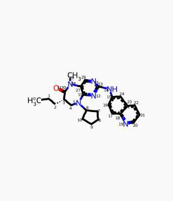 CCC[C@H]1CN(C2CCCC2)c2nc(Nc3ccc4ncccc4c3)ncc2N(C)C1=O